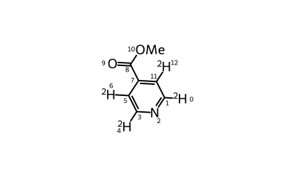 [2H]c1nc([2H])c([2H])c(C(=O)OC)c1[2H]